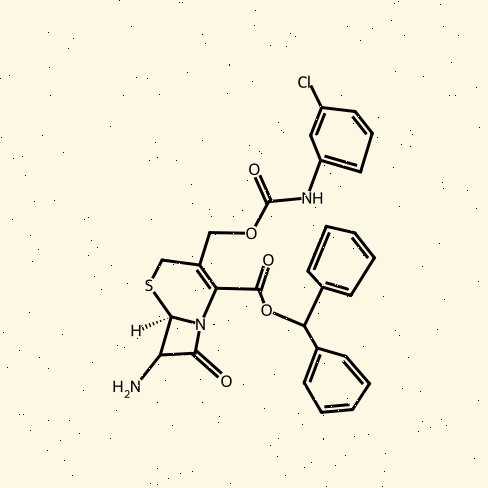 NC1C(=O)N2C(C(=O)OC(c3ccccc3)c3ccccc3)=C(COC(=O)Nc3cccc(Cl)c3)CS[C@H]12